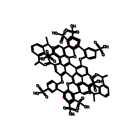 CC(C)c1cccc(C(C)C)c1N1C(=O)c2cc(Oc3ccc(S(=O)(=O)O)cc3-c3ccc(S(=O)(=O)O)cc3)c3c4c(Oc5ccc(S(=O)(=O)O)cc5-c5ccc(S(=O)(=O)O)cc5)cc5c6c(cc(Oc7ccc(S(=O)(=O)O)cc7-c7ccc(S(=O)(=O)O)cc7)c(c7c(Oc8ccc(S(=O)(=O)O)cc8-c8ccc(S(=O)(=O)O)cc8)cc(c2c37)C1=O)c64)C(=O)N(c1c(C(C)C)cccc1C(C)C)C5=O